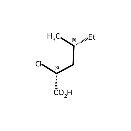 CC[C@@H](C)C[C@@H](Cl)C(=O)O